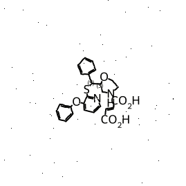 O=C(O)C=CC(=O)O.c1ccc(Oc2cccnc2S[C@@H](c2ccccc2)[C@@H]2CNCCO2)cc1